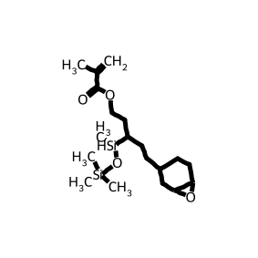 C=C(C)C(=O)OCCC(CCC1CCC2OC2C1)[SiH](C)O[Si](C)(C)C